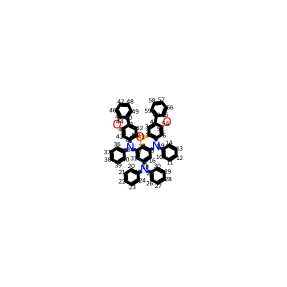 O=P12c3cc4c(cc3N(c3ccccc3)c3cc(N(c5ccccc5)c5ccccc5)cc(c31)N(c1ccccc1)c1cc3oc5ccccc5c3cc12)oc1ccccc14